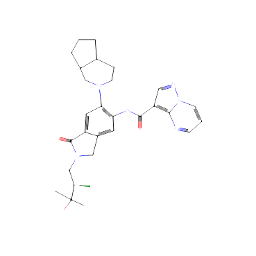 CC(C)(O)[C@H](F)CN1Cc2cc(NC(=O)c3cnn4cccnc34)c(N3CCC4CCCC4C3)cc2C1=O